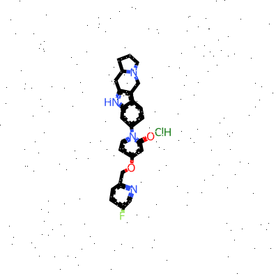 Cl.O=c1cc(OCc2ccc(F)cn2)ccn1-c1ccc2c3c([nH]c2c1)CC1CCCN1C3